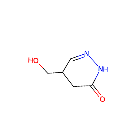 O=C1CC(CO)C=NN1